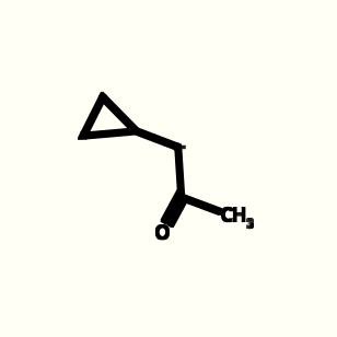 CC(=O)[CH]C1CC1